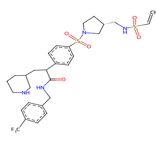 C=CS(=O)(=O)NC[C@H]1CCN(S(=O)(=O)c2ccc(C(CC3CCCNC3)C(=O)NCc3ccc(C(F)(F)F)cc3)cc2)C1